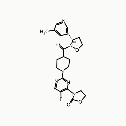 Cc1cncc([C@@H]2CCON2C(=O)C2CCN(c3ncc(F)c(N4CCOC4=O)n3)CC2)c1